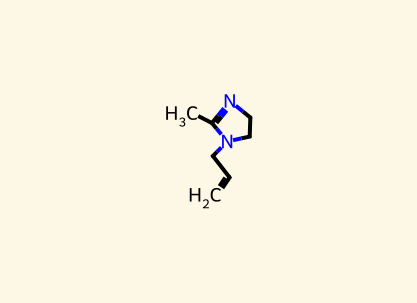 C=CCN1CCN=C1C